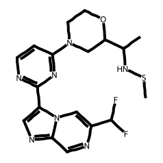 CSNC(C)C1CN(c2ccnc(-c3cnc4cnc(C(F)F)cn34)n2)CCO1